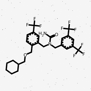 NC(=O)N(Cc1cc(C(F)(F)F)cc(C(F)(F)F)c1)Cc1cc(C(F)(F)F)ccc1COCC1CCCCC1